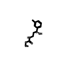 Cc1cccc([C@H](O)CCNC(=O)OC(C)(C)C)c1